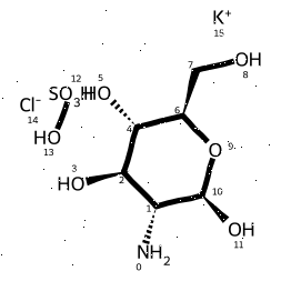 N[C@@H]1[C@@H](O)[C@H](O)[C@@H](CO)O[C@H]1O.O=S(=O)(O)O.[Cl-].[K+]